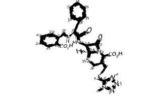 Cn1nnnc1SCC1=C(C(=O)O)N2C(=O)C(NC(=O)[C@@H](NCc3ccccc3C(=O)O)c3ccccc3)[C@@H]2SC1